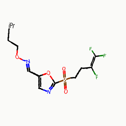 CC(C)CCON=Cc1cnc(S(=O)(=O)CCC(F)=C(F)F)o1